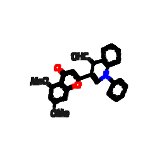 COc1cc(OC)c2c(=O)cc(C3=CN(c4ccccc4)c4ccccc4C3C=O)oc2c1